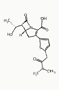 C[C@@H](O)[C@H]1C(=O)N2C(C(=O)O)=C(c3ccc(CC(=O)N(C)C)s3)C[C@H]12